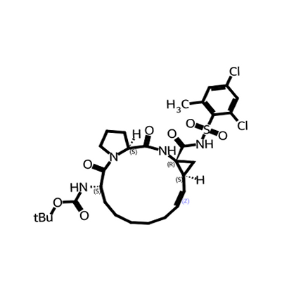 Cc1cc(Cl)cc(Cl)c1S(=O)(=O)NC(=O)[C@@]12C[C@H]1/C=C\CCCCC[C@H](NC(=O)OC(C)(C)C)C(=O)N1CCC[C@H]1C(=O)N2